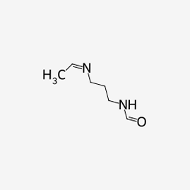 C/C=N\CCCNC=O